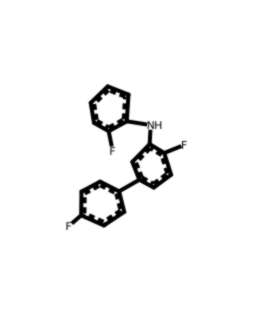 Fc1ccc(-c2ccc(F)c(Nc3ccccc3F)c2)cc1